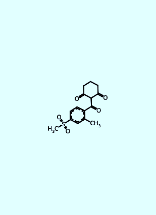 Cc1cc(S(C)(=O)=O)ccc1C(=O)C1C(=O)CCCC1=O